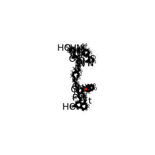 CCc1cccc2cc(O)cc(-c3ncc4c(N5CC6CCC(C5)N6C=O)nc(OCCN5CCC6(CC5)CN(c5cc([C@H](C(=O)N7C[C@H](O)C[C@H]7C(=O)N[C@@H](C)c7ccc(-c8scnc8C)cc7)C(C)C)on5)C6)nc4c3F)c12